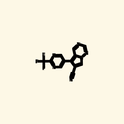 N#Cc1cn2ncncc2c1-c1cnc(C(F)(F)F)nc1